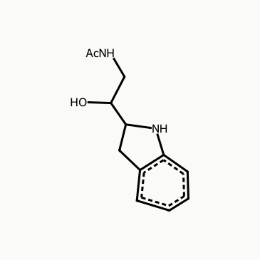 CC(=O)NCC(O)C1Cc2ccccc2N1